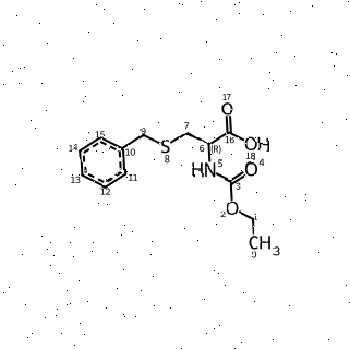 CCOC(=O)N[C@@H](CSCc1ccccc1)C(=O)O